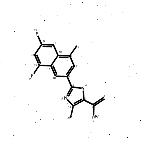 C=C(CCC)c1sc(-c2cc(C)c3cc(F)cc(F)c3c2)nc1C